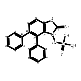 O=P(O)(O)On1c(=S)oc2ccc(-c3ccccc3)c(-c3ccccc3)c21